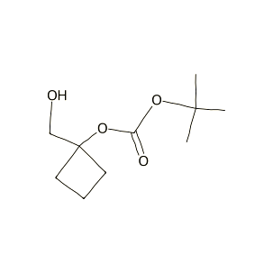 CC(C)(C)OC(=O)OC1(CO)CCC1